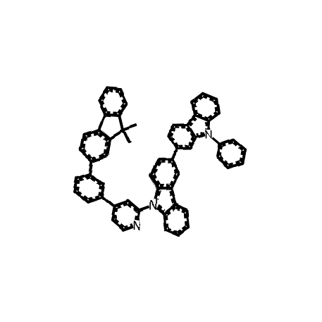 CC1(C)c2ccccc2-c2ccc(-c3cccc(-c4ccnc(-n5c6ccccc6c6cc(-c7ccc8c9ccccc9n(-c9ccccc9)c8c7)ccc65)c4)c3)cc21